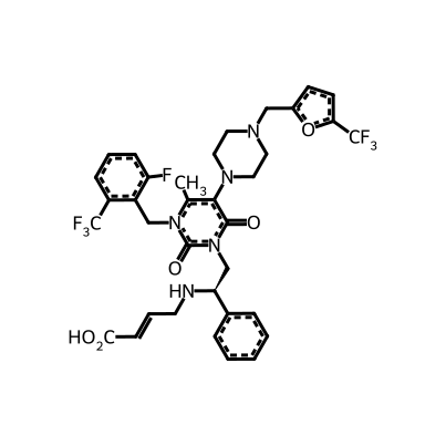 Cc1c(N2CCN(Cc3ccc(C(F)(F)F)o3)CC2)c(=O)n(C[C@H](NC/C=C/C(=O)O)c2ccccc2)c(=O)n1Cc1c(F)cccc1C(F)(F)F